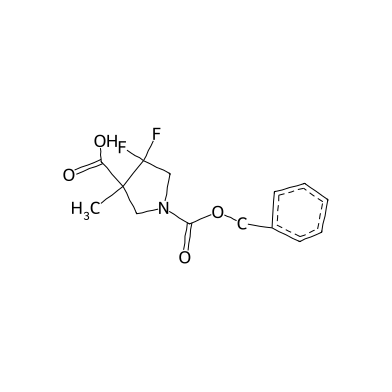 CC1(C(=O)O)CN(C(=O)OCc2ccccc2)CC1(F)F